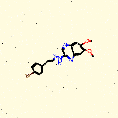 COc1cc2ncc(N/N=C/Cc3ccc(Br)cc3)nc2cc1OC